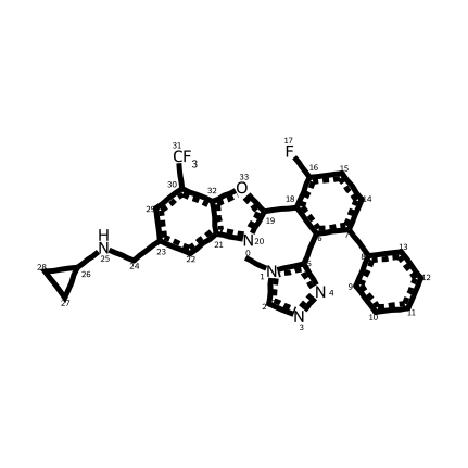 Cn1cnnc1-c1c(-c2ccccc2)ccc(F)c1-c1nc2cc(CNC3CC3)cc(C(F)(F)F)c2o1